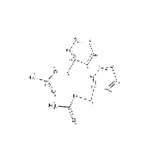 CC(=O)OCc1ccccc1.CC(=O)OCc1ccccc1